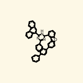 c1ccc(C2=NC(c3cccc4oc5ccc(-c6ccc(-c7ccccc7)cc6)cc5c34)NC(c3cc4ccccc4c4ccccc34)=N2)cc1